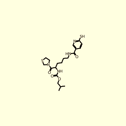 CC(C)COC(=O)NC(CCCCNC(=O)c1ccc(S)nc1)C(=O)N1CCSC1